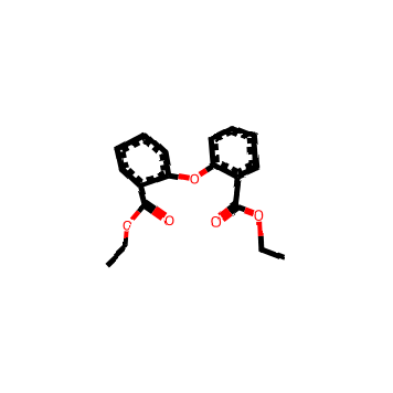 CCOC(=O)c1ccccc1Oc1ccccc1C(=O)OCC